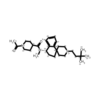 CC(=O)N1CCC(C(=O)N(C)[C@H]2CCC3(CCN(CCC(C)(C)C)CC3)c3ccccc32)CC1